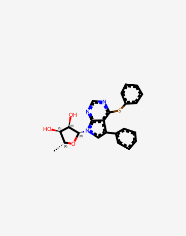 C[C@H]1O[C@@H](n2cc(-c3ccccc3)c3c(Sc4ccccc4)ncnc32)[C@H](O)[C@@H]1O